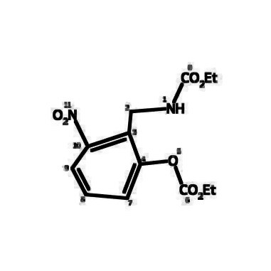 CCOC(=O)NCc1c(OC(=O)OCC)cccc1[N+](=O)[O-]